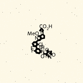 COc1nc(-c2ccc(F)c(-c3c(F)ccc(NC(=O)c4nn(C)c(=O)n(C)c4=O)c3Cl)c2Cl)cc2c1C(N1CC(C(=O)O)C1)CC2